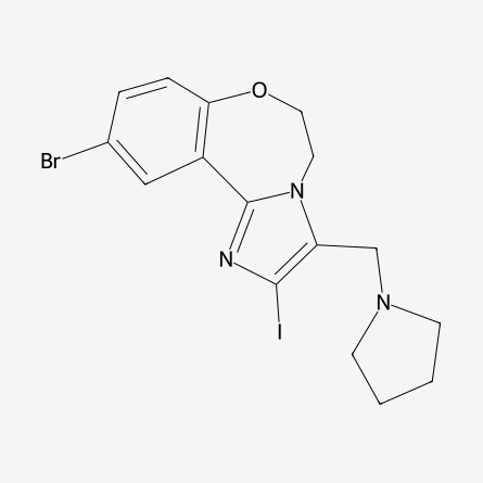 Brc1ccc2c(c1)-c1nc(I)c(CN3CCCC3)n1CCO2